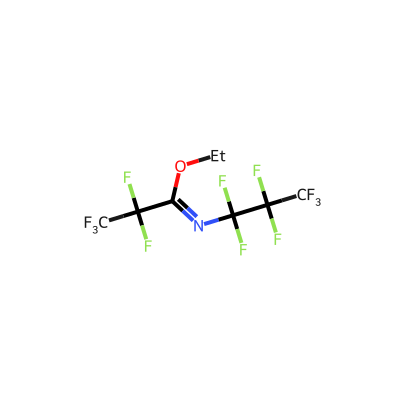 CCOC(=NC(F)(F)C(F)(F)C(F)(F)F)C(F)(F)C(F)(F)F